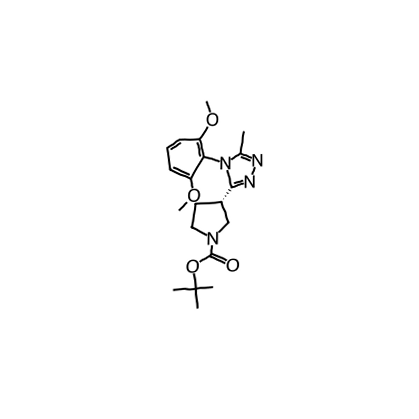 COc1cccc(OC)c1-n1c(C)nnc1[C@H]1CCN(C(=O)OC(C)(C)C)C1